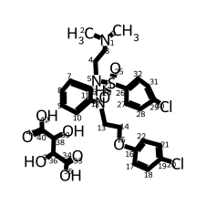 CN(C)CCN(c1ccccc1NCCOc1ccc(Cl)cc1)S(=O)(=O)c1ccc(Cl)cc1.O=C(O)C(O)C(O)C(=O)O